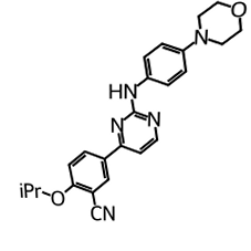 CC(C)Oc1ccc(-c2ccnc(Nc3ccc(N4CCOCC4)cc3)n2)cc1C#N